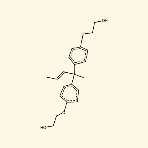 CC=CC(C)(c1ccc(OCCO)cc1)c1ccc(OCCO)cc1